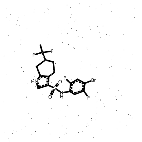 CC(F)(F)C1CCc2c(S(=O)(=O)Nc3cc(F)c(Br)cc3F)c[nH]c2C1